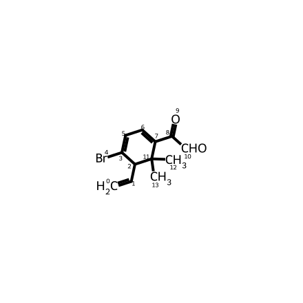 C=CC1C(Br)=CC=C(C(=O)C=O)C1(C)C